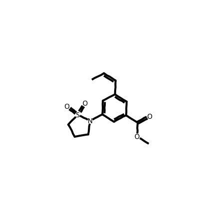 C/C=C\c1cc(C(=O)OC)cc(N2CCCS2(=O)=O)c1